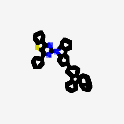 c1ccc(-c2nc(-n3c4ccccc4c4cc(-c5ccc6c(c5)-c5ccccc5C65C6CC7CC(C6)CC5C7)ccc43)nc3c2sc2ccccc23)cc1